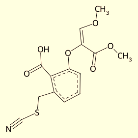 COC=C(Oc1cccc(CSC#N)c1C(=O)O)C(=O)OC